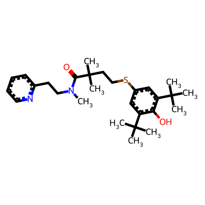 CN(CCc1ccccn1)C(=O)C(C)(C)CCSc1cc(C(C)(C)C)c(O)c(C(C)(C)C)c1